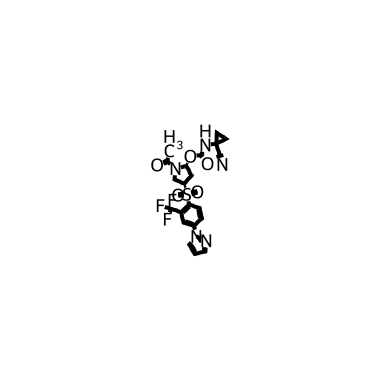 CC(=O)N1C[C@H](S(=O)(=O)c2ccc(-n3cccn3)cc2C(F)(F)F)C[C@@H]1OC(=O)NC1(C#N)CC1